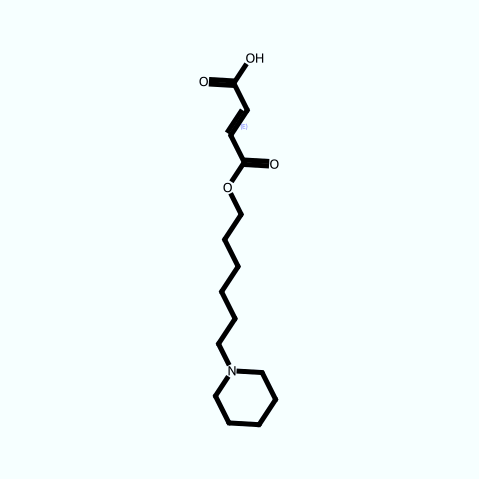 O=C(O)/C=C/C(=O)OCCCCCCN1CCCCC1